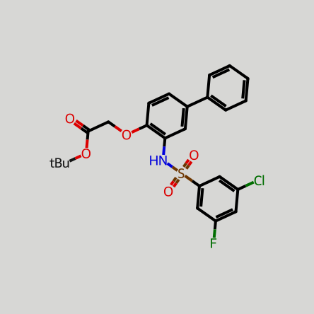 CC(C)(C)OC(=O)COc1ccc(-c2ccccc2)cc1NS(=O)(=O)c1cc(F)cc(Cl)c1